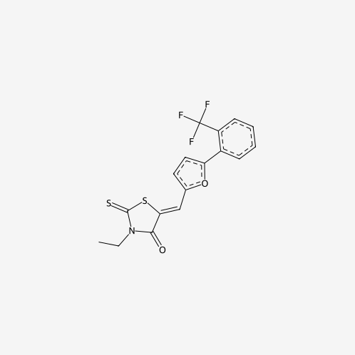 CCN1C(=O)C(=Cc2ccc(-c3ccccc3C(F)(F)F)o2)SC1=S